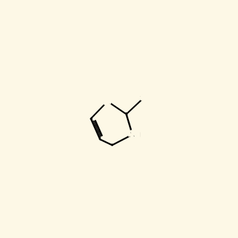 [2H]C1NCC=CS1